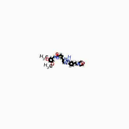 COc1cc(CNC(=O)c2ccc(-c3ccnc(Nc4cccc(CCN5CCOCC5)c4)n3)s2)cc(OC)c1